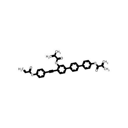 C=CC(=O)Oc1ccc(C#Cc2ccc(-c3ccc(-c4ccc(OC(=O)C(=C)C)cc4)cc3)cc2OC(=O)C(=C)C)cc1